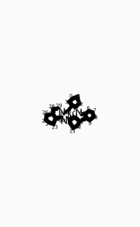 c1ccc(-n2c3ccccc3c3ccccc32)c(-c2nnc3c4ccccc4ccn23)c1